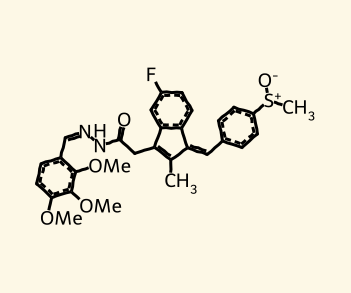 COc1ccc(/C=N\NC(=O)CC2=C(C)/C(=C/c3ccc([S+](C)[O-])cc3)c3ccc(F)cc32)c(OC)c1OC